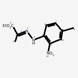 CCOC(=O)/C(C)=N/Nc1ccc(C)cc1[N+](=O)[O-]